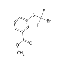 COC(=O)c1cccc(SC(F)(F)Br)c1